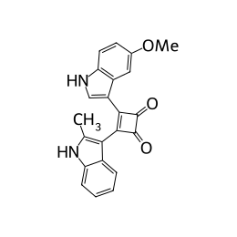 COc1ccc2[nH]cc(-c3c(-c4c(C)[nH]c5ccccc45)c(=O)c3=O)c2c1